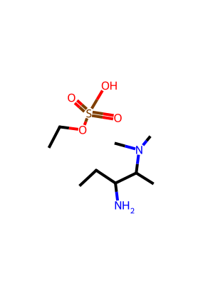 CCC(N)C(C)N(C)C.CCOS(=O)(=O)O